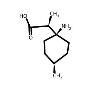 C[C@H](C(=O)O)[C@]1(N)CC[C@@H](C)CC1